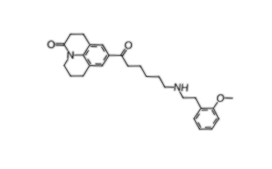 COc1ccccc1CCNCCCCCC(=O)c1cc2c3c(c1)CCC(=O)N3CCC2